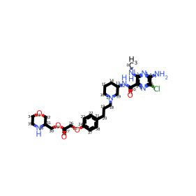 CNc1nc(N)c(Cl)nc1C(=O)NC1CCCN(CCCc2ccc(OCC(=O)OCC3COCCN3)cc2)C1